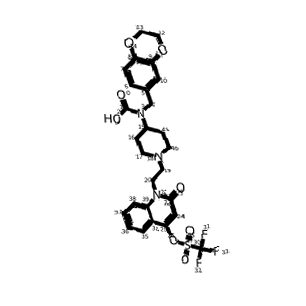 O=C(O)N(Cc1ccc2c(c1)OCCO2)C1CCN(CCn2c(=O)cc(OS(=O)(=O)C(F)(F)F)c3ccccc32)CC1